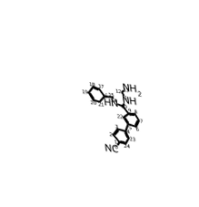 N#Cc1ccc(-c2cccc(C(NCN)NCC3C=CC=CC3)c2)cc1